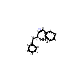 N[C@H](/C=C\c1ccccc1)Cc1ccccc1